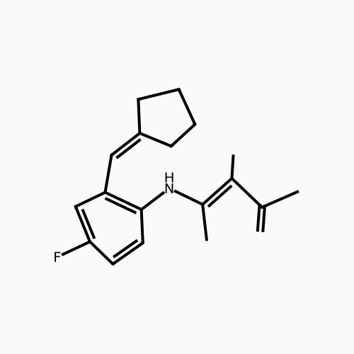 C=C(C)/C(C)=C(\C)Nc1ccc(F)cc1C=C1CCCC1